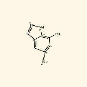 Cc1cc(C(C)(C)C)cc2cn[nH]c12